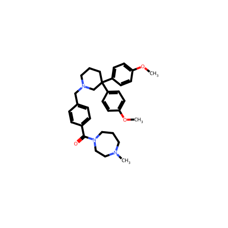 COc1ccc(C2(c3ccc(OC)cc3)CCCN(Cc3ccc(C(=O)N4CCCN(C)CC4)cc3)C2)cc1